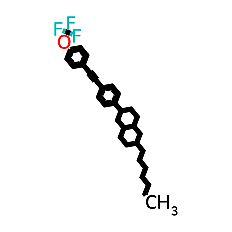 CCCCCCCC1CCC2CC(c3ccc(C#Cc4ccc(OC(F)(F)F)cc4)cc3)CCC2C1